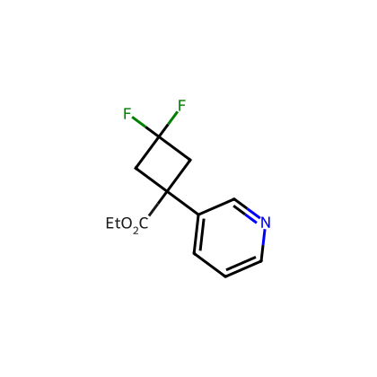 CCOC(=O)C1(c2cccnc2)CC(F)(F)C1